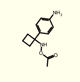 CC(=O)ONC1(c2ccc(N)cc2)CCC1